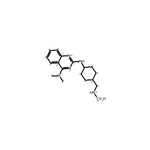 CN(C)c1nc(NC2CCC(CNC(=O)O)CC2)nc2ccccc12